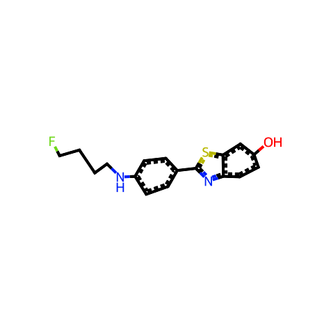 Oc1ccc2nc(-c3ccc(NCCCCF)cc3)sc2c1